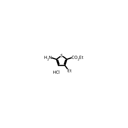 CCOC(=O)c1sc(N)cc1CC.Cl